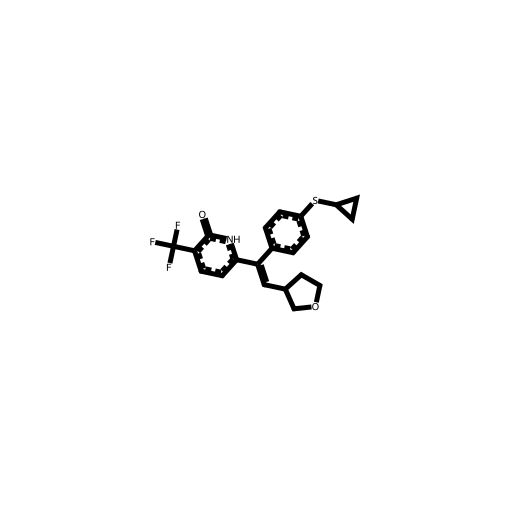 O=c1[nH]c(/C(=C/C2CCOC2)c2ccc(SC3CC3)cc2)ccc1C(F)(F)F